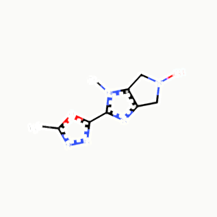 CCn1c(-c2nnc(C(F)(F)F)o2)nc2c1CN(O)C2